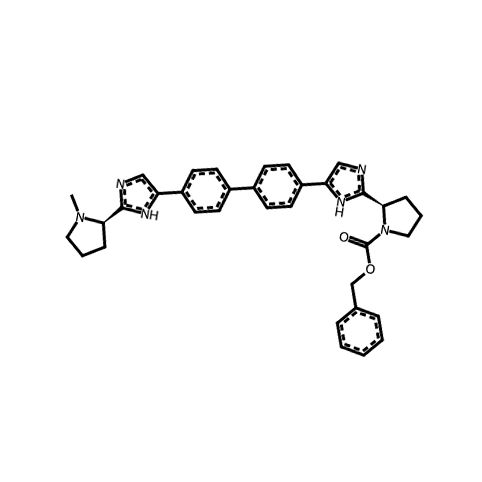 CN1CCC[C@@H]1c1ncc(-c2ccc(-c3ccc(-c4cnc([C@H]5CCCN5C(=O)OCc5ccccc5)[nH]4)cc3)cc2)[nH]1